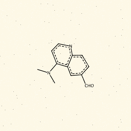 CN(C)c1ccnc2ccc(C=O)cc12